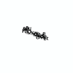 CCCC[C@H](F)C(=O)O[C@H]1CC[C@H](CCc2ccc(OC(=O)c3ccc(OCC)c(F)c3)cc2)CC1